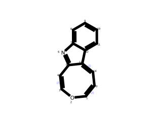 C1=C\O/C=C\C2=Nc3ccccc3/C2=C/1